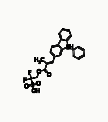 C/C(=C\c1ccc2c(c1)[SH](c1ccccc1)c1ccccc1-2)C(=O)OCC(F)(F)S(=O)(=O)O